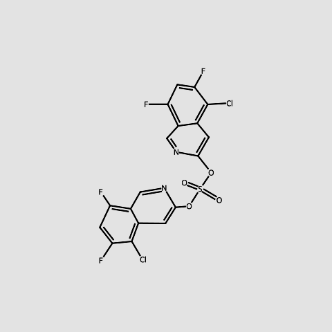 O=S(=O)(Oc1cc2c(Cl)c(F)cc(F)c2cn1)Oc1cc2c(Cl)c(F)cc(F)c2cn1